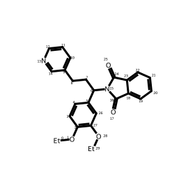 CCOc1ccc(C(CCc2cccnc2)N2C(=O)c3ccccc3C2=O)cc1OCC